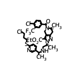 CCOC(=O)c1c2c(nn1[C@H](C)CNC(C)c1ccc(SCCCCl)nc1)C[C@@H](C)N(C(=O)c1ccc(Cl)c(C(F)(F)F)c1)C2